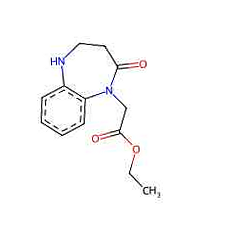 CCOC(=O)CN1C(=O)CCNc2ccccc21